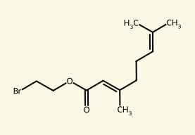 CC(C)=CCCC(C)=CC(=O)OCCBr